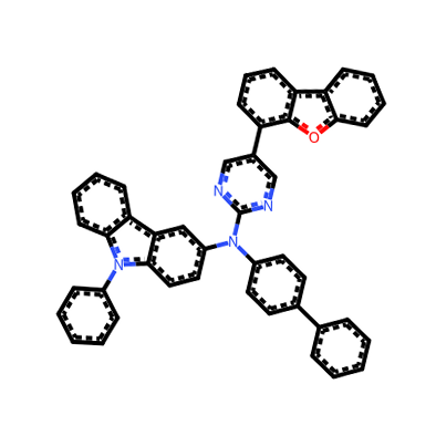 c1ccc(-c2ccc(N(c3ccc4c(c3)c3ccccc3n4-c3ccccc3)c3ncc(-c4cccc5c4oc4ccccc45)cn3)cc2)cc1